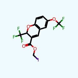 O=C(OCI)C1=Cc2cc(OC(F)(F)F)ccc2OC1C(F)(F)F